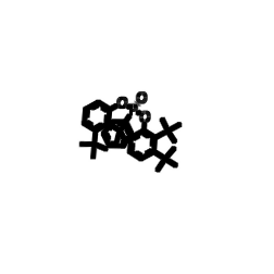 CC(C)(C)c1cccc(OP(=O)(Oc2cccc(C(C)(C)C)c2C(C)(C)C)c2ccccc2)c1C(C)(C)C